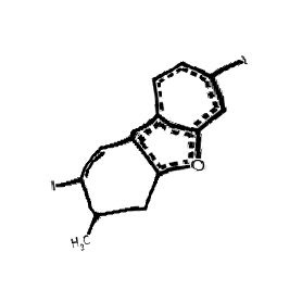 CC1Cc2oc3cc(I)ccc3c2C=C1I